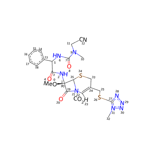 CO[C@]1(NC(=O)C(NC(=O)N(C)CC#N)c2ccccc2)C(=O)N2C(C(=O)O)=C(CSc3nnnn3C)CSC21